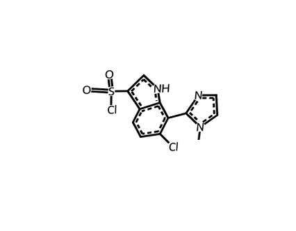 Cn1ccnc1-c1c(Cl)ccc2c(S(=O)(=O)Cl)c[nH]c12